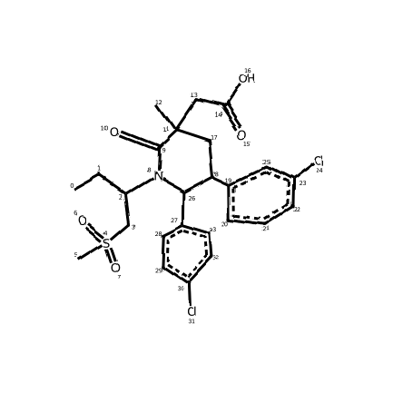 CCC(CS(C)(=O)=O)N1C(=O)C(C)(CC(=O)O)CC(c2cccc(Cl)c2)C1c1ccc(Cl)cc1